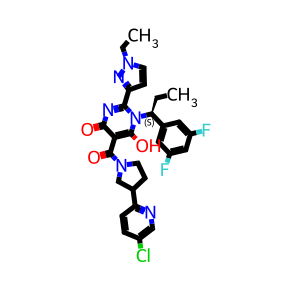 CC[C@@H](c1cc(F)cc(F)c1)n1c(-c2ccn(CC)n2)nc(=O)c(C(=O)N2CCC(c3ccc(Cl)cn3)C2)c1O